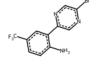 Nc1ccc(C(F)(F)F)cc1-c1cnc(Br)cn1